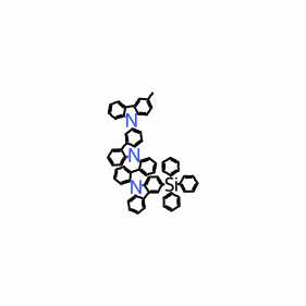 Cc1ccc2c(c1)c1ccccc1n2-c1ccc2c(c1)c1ccccc1n2-c1ccccc1-c1ccccc1-n1c2ccccc2c2cc([Si](c3ccccc3)(c3ccccc3)c3ccccc3)ccc21